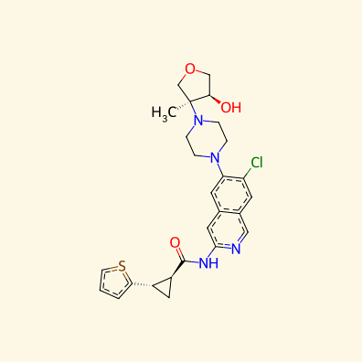 C[C@]1(N2CCN(c3cc4cc(NC(=O)[C@H]5C[C@@H]5c5cccs5)ncc4cc3Cl)CC2)COC[C@H]1O